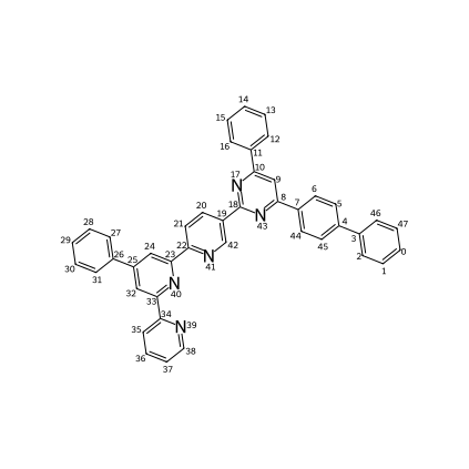 c1ccc(-c2ccc(-c3cc(-c4ccccc4)nc(-c4ccc(-c5cc(-c6ccccc6)cc(-c6ccccn6)n5)nc4)n3)cc2)cc1